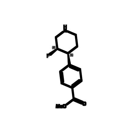 COC(=O)c1ccc([C@@H]2CCNC[C@@H]2F)cc1